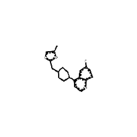 Cc1cnc(CC2CCC(c3ccnc4ccc(F)cc34)CC2)o1